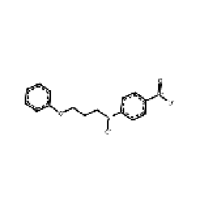 O=[N+]([O-])c1ccc([S+]([O-])CCCOc2ccccc2)cc1